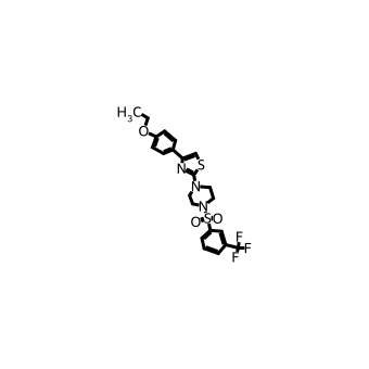 CCOc1ccc(-c2csc(N3CCN(S(=O)(=O)c4cccc(C(F)(F)F)c4)CC3)n2)cc1